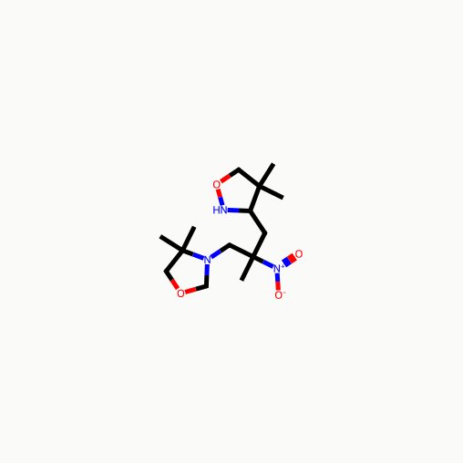 CC1(C)CONC1CC(C)(CN1COCC1(C)C)[N+](=O)[O-]